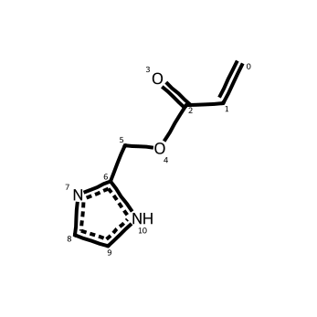 C=CC(=O)OCc1ncc[nH]1